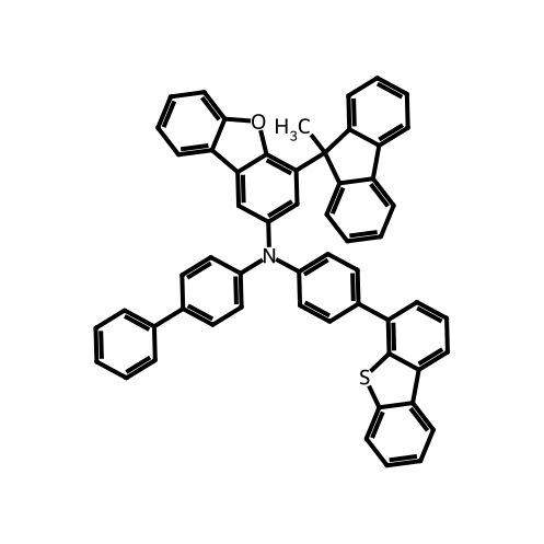 CC1(c2cc(N(c3ccc(-c4ccccc4)cc3)c3ccc(-c4cccc5c4sc4ccccc45)cc3)cc3c2oc2ccccc23)c2ccccc2-c2ccccc21